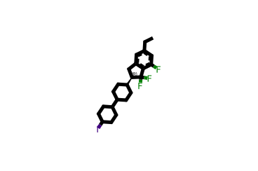 CCc1cc(F)c2c(c1)C[C@H](C1CCC(C3CCC(I)CC3)CC1)C2(F)F